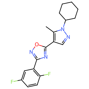 Cc1c(-c2nc(-c3cc(F)ccc3F)no2)cnn1C1CCCCC1